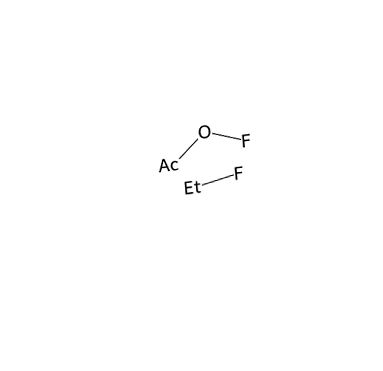 CC(=O)OF.CCF